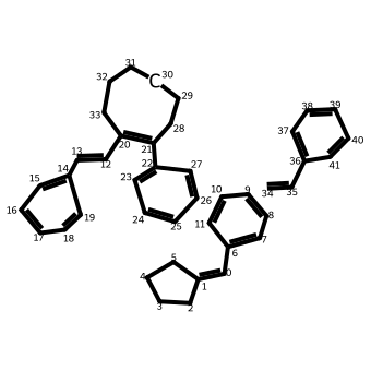 C(=C1CCCC1)c1ccccc1.C(=Cc1ccccc1)/C1=C(\c2ccccc2)CCCCCC1.C=Cc1ccccc1